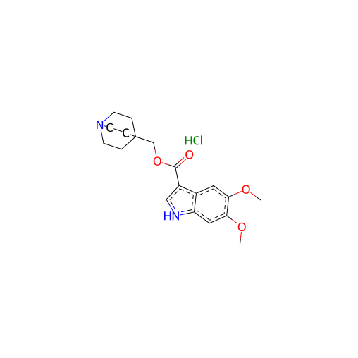 COc1cc2[nH]cc(C(=O)OCC34CCN(CC3)CC4)c2cc1OC.Cl